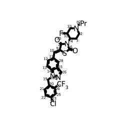 CC(C)N1CCC(N2C(=O)SC(=Cc3ccc4c(cnn4Cc4ccc(Cl)cc4C(F)(F)F)c3)C2=O)C(F)C1